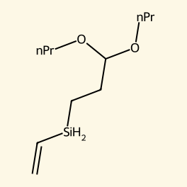 C=C[SiH2]CCC(OCCC)OCCC